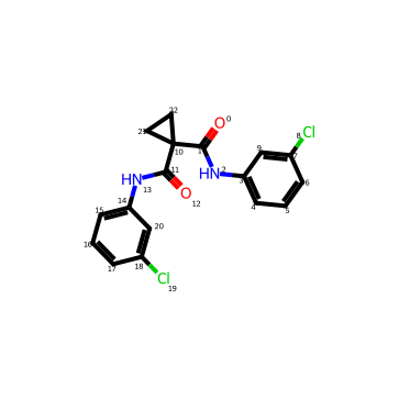 O=C(Nc1cccc(Cl)c1)C1(C(=O)Nc2cccc(Cl)c2)CC1